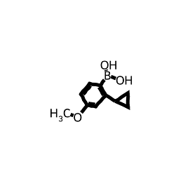 COc1ccc(B(O)O)c(C2CC2)c1